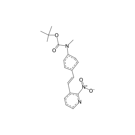 CN(C(=O)OC(C)(C)C)c1ccc(/C=C/c2cccnc2[N+](=O)[O-])cc1